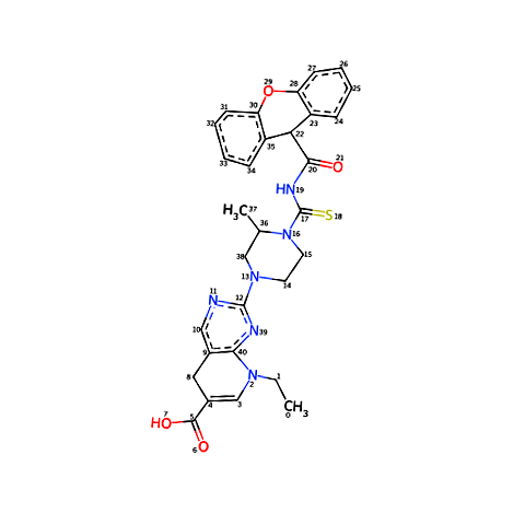 CCN1C=C(C(=O)O)Cc2cnc(N3CCN(C(=S)NC(=O)C4c5ccccc5Oc5ccccc54)C(C)C3)nc21